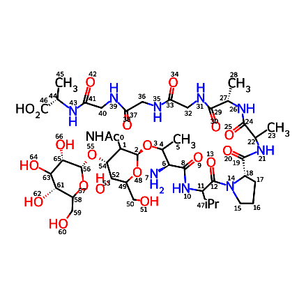 CC(=O)NC1[C@@H](OC(C)[C@H](N)C(=O)NC(C(=O)N2CCC[C@H]2C(=O)NC(C)C(=O)N[C@@H](C)C(=O)NCC(=O)NCC(=O)NCC(=O)N[C@@H](C)C(=O)O)C(C)C)OC(CO)[C@H](O)[C@@H]1O[C@@H]1OC(CO)[C@H](O)C(O)[C@@H]1O